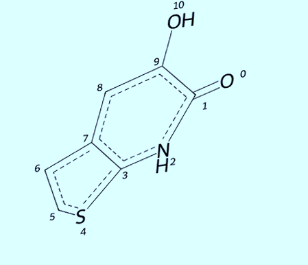 O=c1[nH]c2sccc2cc1O